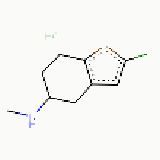 CNC1CCc2sc(F)cc2C1.Cl